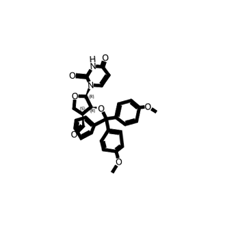 COc1ccc(C(O[C@H]2[C@H](n3ccc(=O)[nH]c3=O)OC[C@@H]2C=O)(c2ccccc2)c2ccc(OC)cc2)cc1